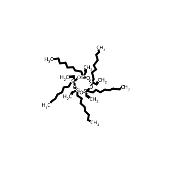 C=C[Si]1(CCCCCCCC)O[Si](C=C)(CCCCCCCC)O[Si](C=C)(CCCCCCCC)O[Si](C=C)(CCCCCCCC)O[Si](C=C)(CCCCCCCC)O1